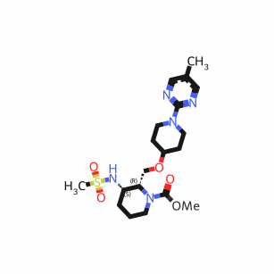 COC(=O)N1CCC[C@H](NS(C)(=O)=O)[C@@H]1COC1CCN(c2ncc(C)cn2)CC1